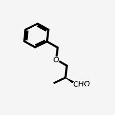 C[C@H](C=O)COCc1ccccc1